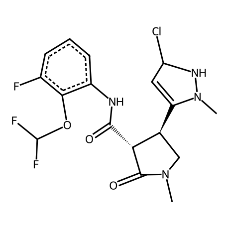 CN1C[C@H](C2=CC(Cl)NN2C)[C@@H](C(=O)Nc2cccc(F)c2OC(F)F)C1=O